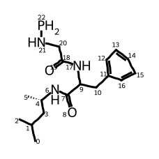 CC(C)C[C@H](C)NC(=O)C(Cc1ccccc1)NC(=O)CNP